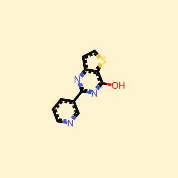 Oc1nc(-c2cccnc2)nc2ccsc12